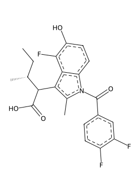 CC[C@@H](C)C(C(=O)O)c1c(C)n(C(=O)c2ccc(F)c(F)c2)c2ccc(O)c(F)c12